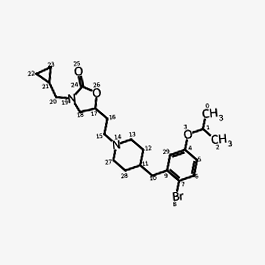 CC(C)Oc1ccc(Br)c(CC2CCN(CCC3CN(CC4CC4)C(=O)O3)CC2)c1